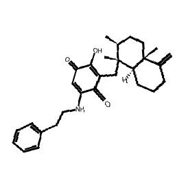 C=C1CCC[C@H]2[C@](C)(CC3=C(O)C(=O)C=C(NCCc4ccccc4)C3=O)[C@@H](C)CC[C@]12C